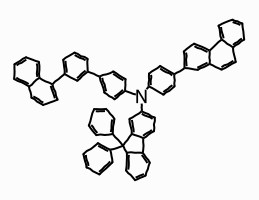 c1ccc(C2(c3ccccc3)c3ccccc3-c3ccc(N(c4ccc(-c5cccc(-c6cccc7ccccc67)c5)cc4)c4ccc(-c5ccc6c(ccc7ccccc76)c5)cc4)cc32)cc1